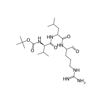 CC(C)CC(NC(=O)[C@H](NC(=O)OC(C)(C)C)C(C)C)C(=O)NC([C]=O)CCCNC(=N)N